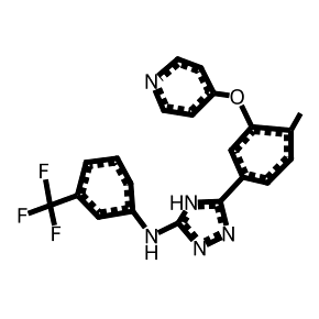 Cc1ccc(-c2nnc(Nc3cccc(C(F)(F)F)c3)[nH]2)cc1Oc1ccncc1